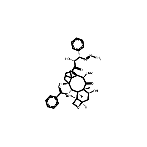 BN=N[C@@H](c1ccccc1)[C@@H](O)C(=O)OC1(C)C2=C(C)CC[C@@]1(O)[C@@H](OC(=O)c1ccccc1)[C@@H]1[C@]3(OC(C)=O)CO[C@@H]3C[C@H](O)[C@@]1(C)C(=O)[C@@H]2OC(C)=O